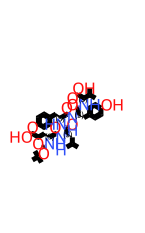 CC(C)C[C@H](NC(=O)[C@H](CCC(=O)O)NC(=O)OC(C)(C)C)C(=O)N[C@@H](Cc1ccccc1)C(=O)N[C@@H](Cc1ccc(O)cc1)C(=O)N[C@H](C(=O)O)C(C)C